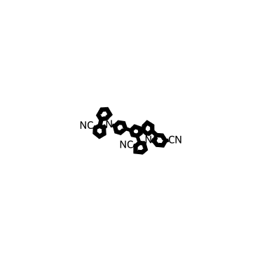 N#Cc1ccc2c(c1)c1ccccc1n2-c1cccc(C#N)c1-c1cccc(-c2ccc(-n3c4ccccc4c4c(C#N)cccc43)cc2)c1